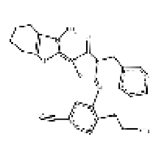 CCNc1ccc(C#N)cc1N=C1SC(=C2SC3=C(CCCC3)N2C)C(=O)N1Cc1ccccc1